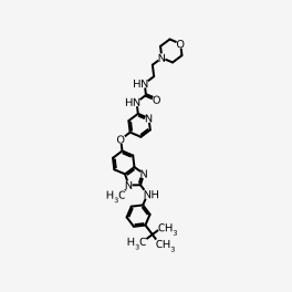 Cn1c(Nc2cccc(C(C)(C)C)c2)nc2cc(Oc3ccnc(NC(=O)NCCN4CCOCC4)c3)ccc21